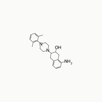 Cc1cccc(C)c1N1CCN(C2Cc3cccc(N)c3CC2O)CC1